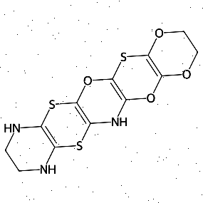 C1CNc2sc3oc4sc5c(oc4[nH]c3sc2N1)OCCO5